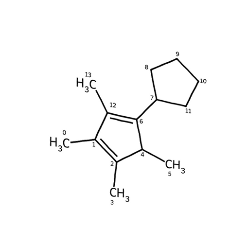 CC1=C(C)C(C)C(C2CCCC2)=C1C